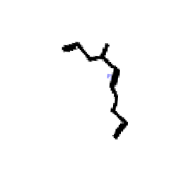 C=CCC/C=C/C(C)CC=C